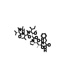 CC[C@H](C)[C@@H]([C@@H](CC(=O)N1CCC[C@H]1[C@H](OC)[C@@H](C)C(=O)N[C@@H](Cc1ccccc1)C(=O)O)OC)N(C)C(=O)[C@@H](NC(=O)[C@H](C(C)C)N(C)CC)C(C)C